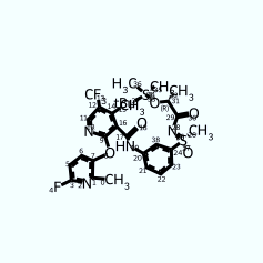 Cc1nc(F)ccc1Oc1ncc(C(F)(F)F)c(C)c1C(=O)Nc1cccc([S@@](C)(=O)=NC(=O)[C@@H](C)O[Si](C)(C)C(C)(C)C)c1